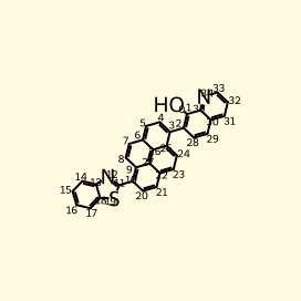 Oc1c(-c2ccc3ccc4c(-c5nc6ccccc6s5)ccc5ccc2c3c54)ccc2cccnc12